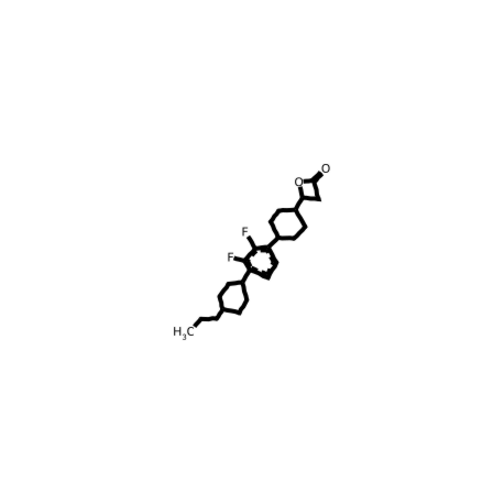 CCCC1CCC(c2ccc(C3CCC(C4CC(=O)O4)CC3)c(F)c2F)CC1